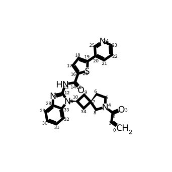 C=CC(=O)N1CC[C@]2(C1)C[C@H](n1c(NC(=O)c3ccc(-c4cccnc4)s3)nc3ccccc31)C2